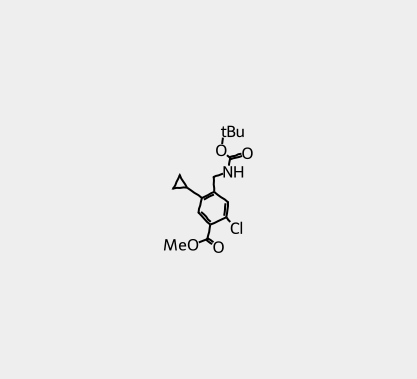 COC(=O)c1cc(C2CC2)c(CNC(=O)OC(C)(C)C)cc1Cl